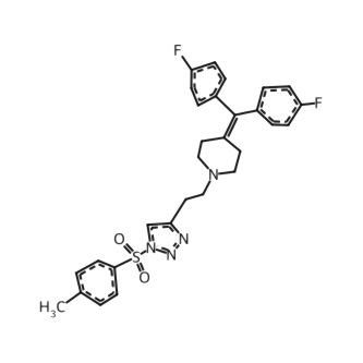 Cc1ccc(S(=O)(=O)n2cc(CCN3CCC(=C(c4ccc(F)cc4)c4ccc(F)cc4)CC3)nn2)cc1